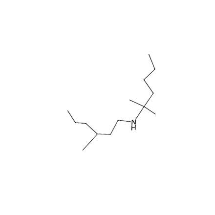 CCCCC(C)(C)NCCC(C)CCC